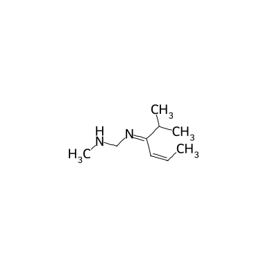 C/C=C\C(=N/CNC)C(C)C